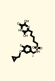 C[C@@H](NS(=O)(=O)CCCCCc1nc(O)c(=O)[nH]c1O)c1ccc(F)c(OCC2CC2)c1